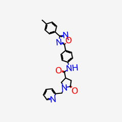 Cc1ccc(-c2noc(-c3ccc(NC(=O)C4CC(=O)N(Cc5ccccn5)C4)cc3)n2)cc1